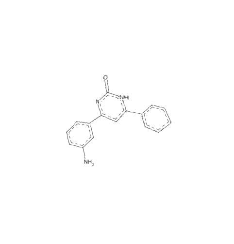 Nc1cccc(-c2cc(-c3ccccc3)[nH]c(=O)n2)c1